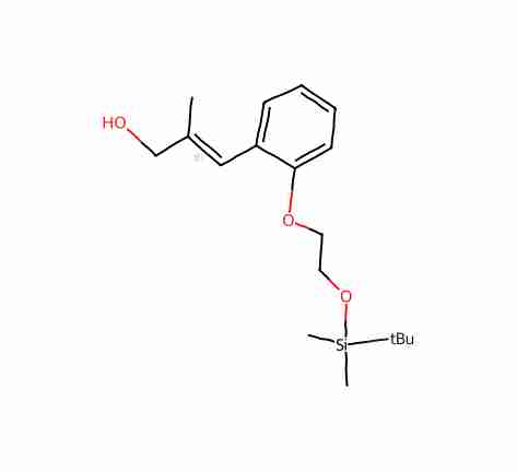 C/C(=C\c1ccccc1OCCO[Si](C)(C)C(C)(C)C)CO